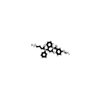 CCCCC(=O)N(c1ccccc1)C1CC(C)N(C(=O)c2cccc(OC)c2)c2ccccc21